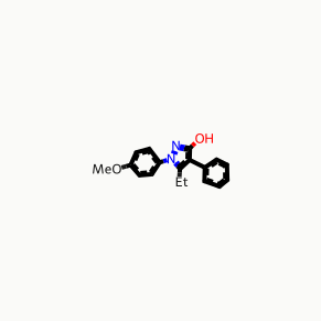 CCc1c(-c2ccccc2)c(O)nn1-c1ccc(OC)cc1